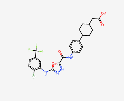 O=C(O)CC1CCC(c2ccc(NC(=O)c3nnc(Nc4cc(C(F)(F)F)ccc4Cl)o3)cc2)CC1